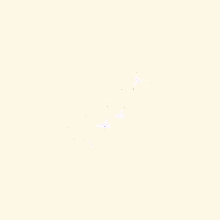 O=C(Nc1ccc([N+](=O)[O-])cc1O)Nc1ccccc1I